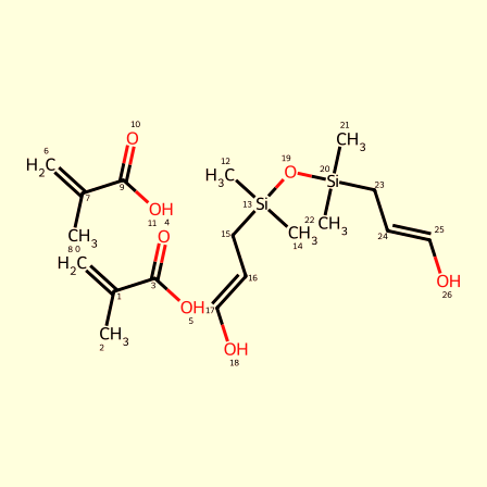 C=C(C)C(=O)O.C=C(C)C(=O)O.C[Si](C)(CC=CO)O[Si](C)(C)CC=CO